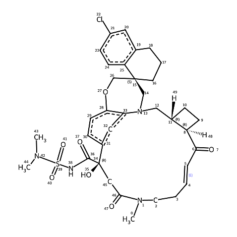 CN1CC/C=C/C(=O)[C@@H]2CC[C@H]2CN2C[C@@]3(CCCc4cc(Cl)ccc43)COc3ccc(cc32)[C@@](O)(C(=O)NS(=O)(=O)N(C)C)CC1=O